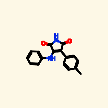 Cc1ccc(C2=C(Nc3ccccc3)C(=O)NC2=O)cc1